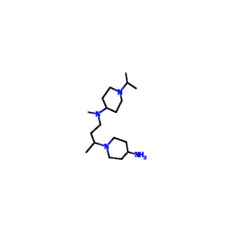 CC(C)N1CCC(N(C)CCC(C)N2CCC(N)CC2)CC1